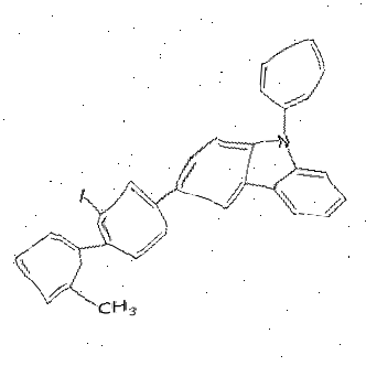 Cc1ccccc1-c1ccc(-c2ccc3c(c2)c2ccccc2n3-c2ccccc2)cc1I